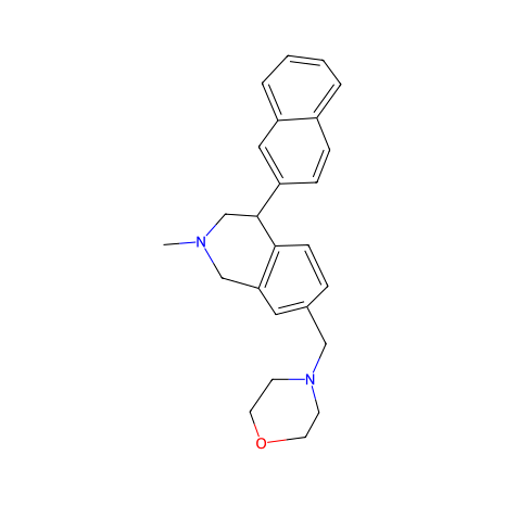 CN1Cc2cc(CN3CCOCC3)ccc2C(c2ccc3ccccc3c2)C1